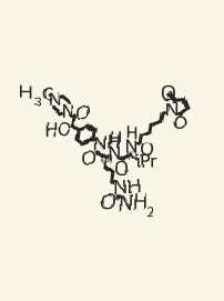 CC(C)[C@H](NC(=O)CCCCCN1C(=O)C=CC1=O)C(=O)N[C@@H](CCCNC(N)=O)C(=O)Nc1ccc(C(O)C(=O)N2CCN(C)CC2)cc1